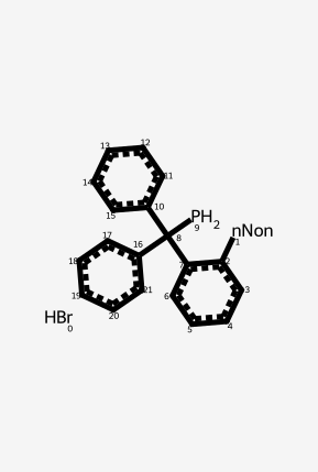 Br.CCCCCCCCCc1ccccc1C(P)(c1ccccc1)c1ccccc1